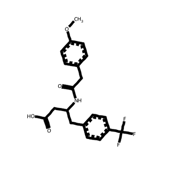 COc1ccc(CC(=O)NC(CC(=O)O)Cc2ccc(C(F)(F)F)cc2)cc1